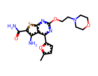 Cc1ccc(-c2nc(OCCN3CCOCC3)nc3sc(C(N)=O)c(N)c23)o1